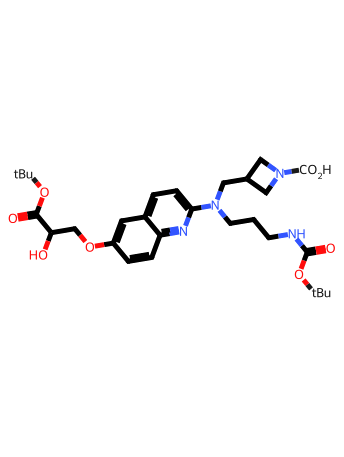 CC(C)(C)OC(=O)NCCCN(CC1CN(C(=O)O)C1)c1ccc2cc(OCC(O)C(=O)OC(C)(C)C)ccc2n1